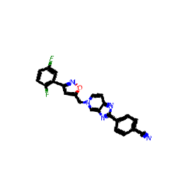 N#Cc1ccc(-c2nc3ccn(Cc4cc(-c5cc(F)ccc5F)no4)cc-3n2)cc1